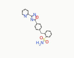 NS(=O)(=O)c1ccccc1Cc1ccc(-c2nc(-c3ccccn3)no2)cc1